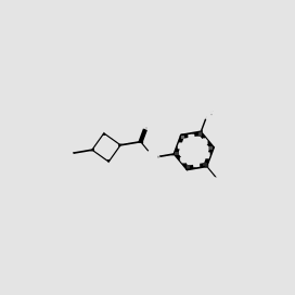 CC1CC(C(=O)Oc2cc(F)cc(Br)c2)C1